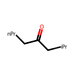 [CH2]C(C)CC(=O)CCCC